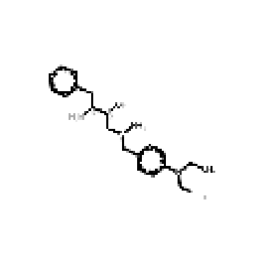 CCN(CC)c1ccc(CN(N)C[C@H](O)[C@@H](N)Cc2ccccc2)cc1